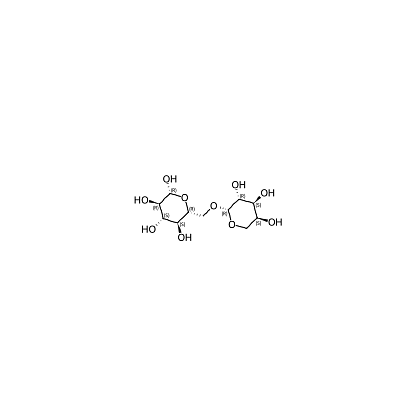 O[C@@H]1[C@@H](O)[C@H](O)O[C@H](CO[C@H]2OC[C@H](O)[C@H](O)[C@H]2O)[C@H]1O